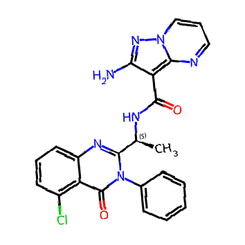 C[C@H](NC(=O)c1c(N)nn2cccnc12)c1nc2cccc(Cl)c2c(=O)n1-c1ccccc1